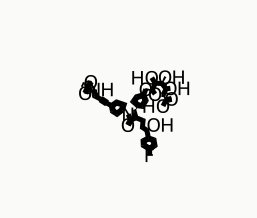 CS(=O)(=O)NCC#Cc1ccc(N2C(=O)C(CC[C@H](O)c3ccc(F)cc3)[C@H]2c2ccc(O[C@@H]3O[C@H](C(=O)O)C(O)[C@H](O)C3O)cc2)cc1